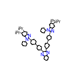 CC(C)c1cc2nc(-c3ccc(-c4ccc(-c5nc6ccccc6nc5-c5ccc(-c6ccc(-c7nc8cc(C(C)C)c(C(C)C)cc8n7-c7ccccc7)cc6)cc5)cc4)cc3)n(-c3ccccc3)c2cc1C(C)C